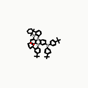 Cc1cc2c3c(c1)N1c4c(cccc4C4(C)CCCCC14C)B3c1ccc(N(c3ccc(C(C)(C)C)cc3)c3ccc(C(C)(C)C)cc3)cc1N2c1ccc(C(C)(C)C)cc1-c1ccccc1